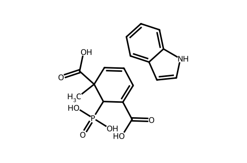 CC1(C(=O)O)C=CC=C(C(=O)O)C1P(=O)(O)O.c1ccc2[nH]ccc2c1